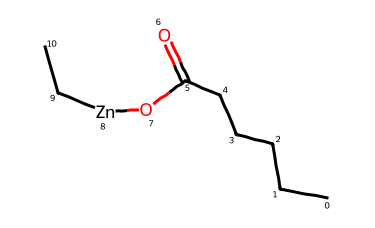 CCCCCC(=O)[O][Zn][CH2]C